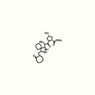 CNC(=O)[C@@H]1C[C@@H](O)CN1C(=O)[C@@H](N1NNC(CN2CCCCCC2=O)C12CCCCC2)C(C)(C)C